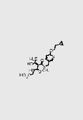 C/C(O)=C(/C(=O)NCC(=O)O)C(=O)N(C)Cc1ccc(OCCC2CC2)nc1